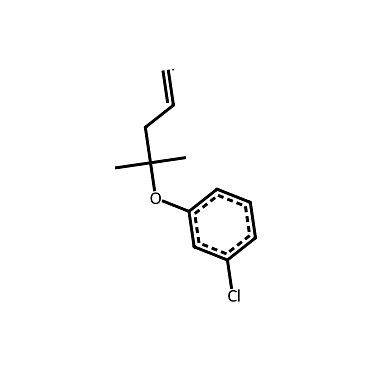 [CH]=CCC(C)(C)Oc1cccc(Cl)c1